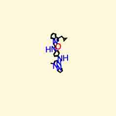 Cc1cc(Nc2ccc(NC(=O)Cn3cc(CC4CC4)c4ccccc43)cc2)nc(N2CCCC2)n1